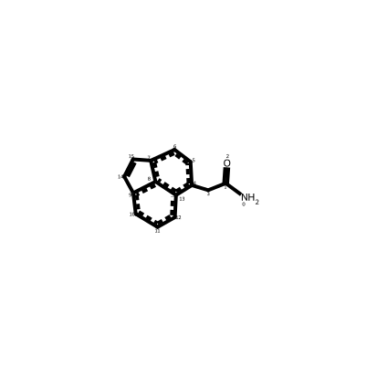 NC(=O)Cc1ccc2c3c(cccc13)C=C2